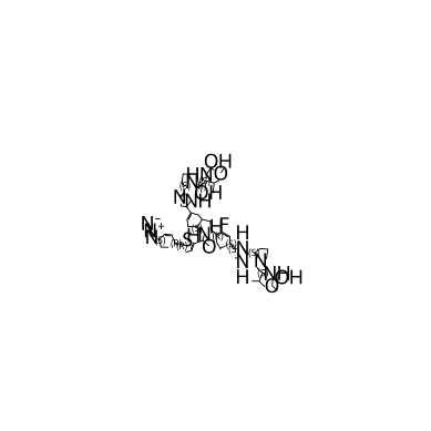 COC(O)N[C@H](CN1CCC[C@H]1C1NC[C@H]([C@@H]2C=C(F)[C@H]3C(C2)OC(C2=CC[C@H]([C@H]4C=C[C@@H](N=[N+]=[N-])CC4)S2)N2C3CC3CC(C4CN=C([C@@H]5CCCN5[C@H](O)[C@@H](NC(O)OC)C(C)C)N4)=CC[C@@H]32)N1)C(C)C